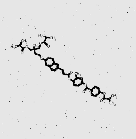 C=C(C)C(=O)OCC(C)(CCOc1ccc2cc(/C=C/C(=O)Oc3ccc(OC(=O)c4ccc(OC(=O)C(=C)C)cc4)cc3C)ccc2c1)COC(=O)C(C)C